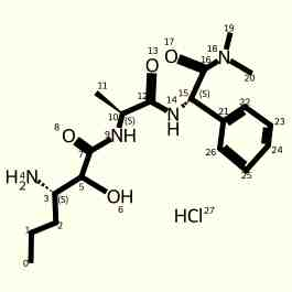 CCC[C@H](N)C(O)C(=O)N[C@@H](C)C(=O)N[C@H](C(=O)N(C)C)c1ccccc1.Cl